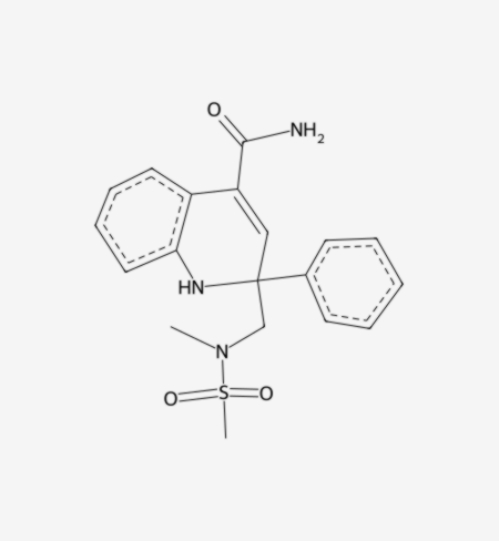 CN(CC1(c2ccccc2)C=C(C(N)=O)c2ccccc2N1)S(C)(=O)=O